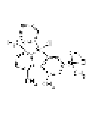 Cc1cc([Si](C)(C)C)cc([Si](Cl)(c2ccccc2)c2cc(C)ccc2C)c1